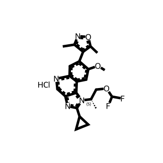 COc1cc2c(cc1-c1c(C)noc1C)ncc1nc(C3CC3)n([C@@H](C)COC(F)F)c12.Cl